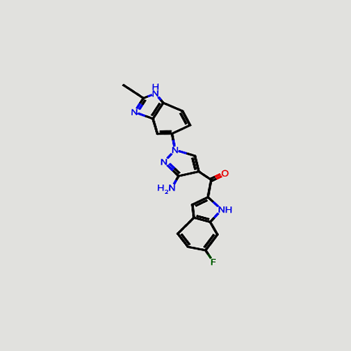 Cc1nc2cc(-n3cc(C(=O)c4cc5ccc(F)cc5[nH]4)c(N)n3)ccc2[nH]1